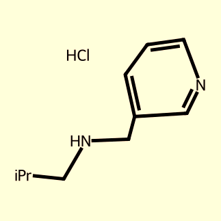 CC(C)CNCc1cccnc1.Cl